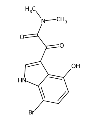 CN(C)C(=O)C(=O)c1c[nH]c2c(Br)ccc(O)c12